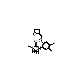 Cc1cc(-n2nnn(C)c2=O)c(OCC2CCO2)cc1F